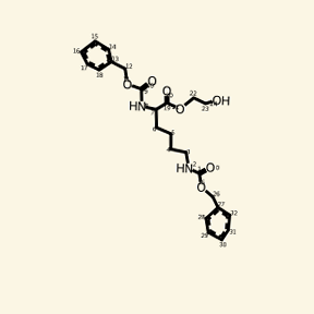 O=C(NCCCCC(NC(=O)OCc1ccccc1)C(=O)OCCO)OCc1ccccc1